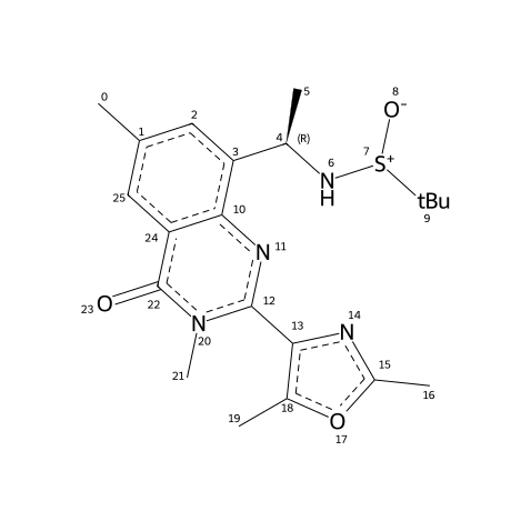 Cc1cc([C@@H](C)N[S+]([O-])C(C)(C)C)c2nc(-c3nc(C)oc3C)n(C)c(=O)c2c1